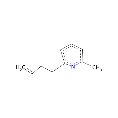 C=CCCc1cccc(C)n1